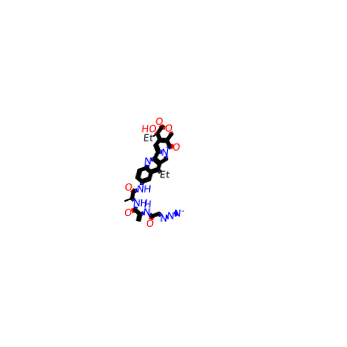 C=C(NC(=O)CN=[N+]=[N-])C(=O)N[C@@H](C)C(=O)Nc1ccc2nc3c(c(CC)c2c1)Cn1c-3cc2c(c1=O)COC(=O)[C@]2(O)CC